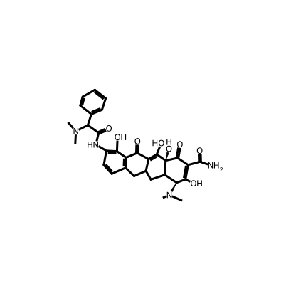 CN(C)C(C(=O)Nc1ccc2c(c1O)C(=O)C1=C(O)[C@]3(O)C(=O)C(C(N)=O)=C(O)[C@@H](N(C)C)C3CC1C2)c1ccccc1